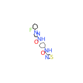 O=C(N[C@H]1CC[C@@H](C(=O)Nc2ccn(-c3ccccc3F)n2)CC1)c1cscn1